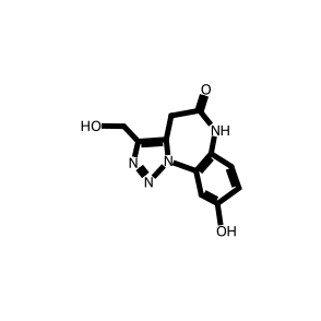 O=C1Cc2c(CO)nnn2-c2cc(O)ccc2N1